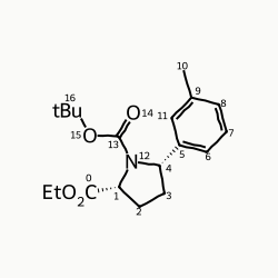 CCOC(=O)[C@H]1CC[C@@H](c2cccc(C)c2)N1C(=O)OC(C)(C)C